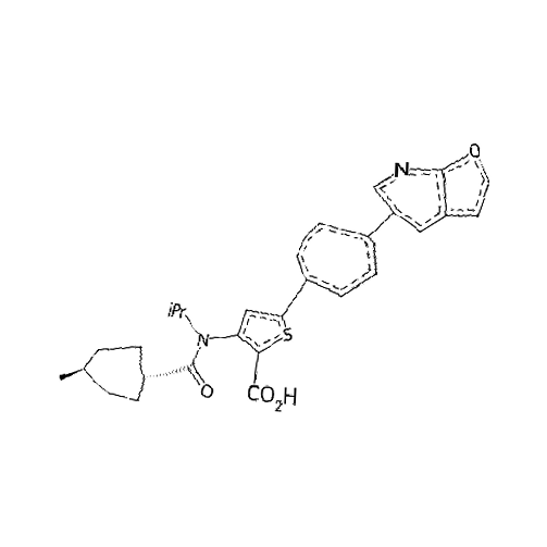 CC(C)N(c1cc(-c2ccc(-c3cnc4occc4c3)cc2)sc1C(=O)O)C(=O)[C@H]1CC[C@H](C)CC1